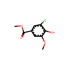 COC(=O)c1cc(Cl)c(O)c(OC)c1